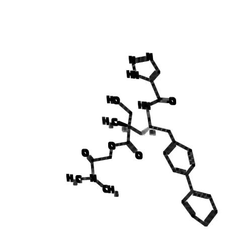 CN(C)C(=O)COC(=O)[C@](C)(CO)C[C@@H](Cc1ccc(-c2ccccc2)cc1)NC(=O)c1cnn[nH]1